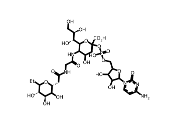 CCC1O[C@H](CC(=O)NCC(=O)NC2C(O)CC(OP(=O)(O)OCC3OC(n4ccc(N)nc4=O)C(O)C3O)(C(=O)O)OC2[C@H](O)[C@H](O)CO)C(O)[C@@H](O)[C@@H]1O